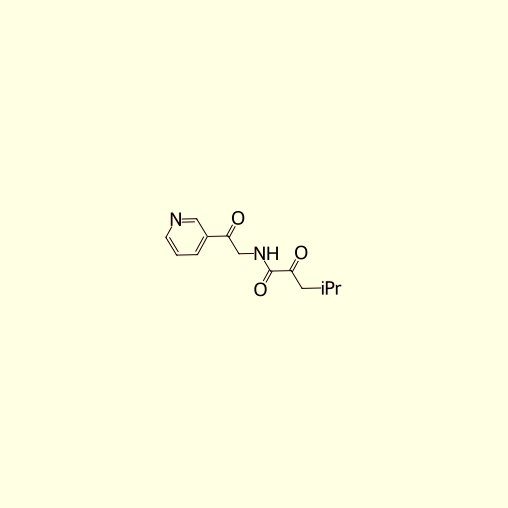 CC(C)CC(=O)C(=O)NCC(=O)c1cccnc1